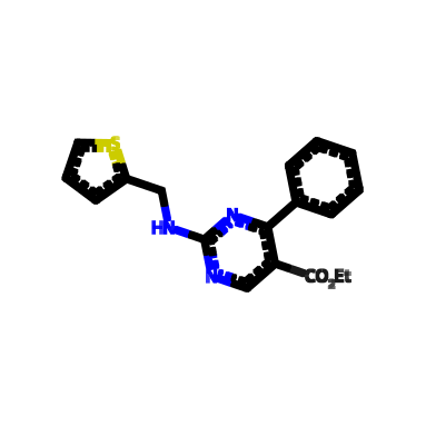 CCOC(=O)c1cnc(NCc2cccs2)nc1-c1ccccc1